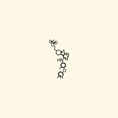 Cc1ccc(Oc2ccc(Nc3ncnc4sc5c(c34)CCC(CCOS(C)(=O)=O)C5)cc2C)cn1